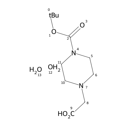 CC(C)(C)OC(=O)N1CCN(CC(=O)O)CC1.O.O